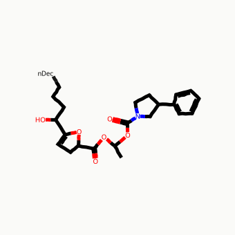 CCCCCCCCCCCCCC(O)C1=CCC(C(=O)OC(C)OC(=O)N2CCC(c3ccccc3)C2)O1